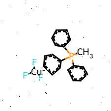 C[P+](c1ccccc1)(c1ccccc1)c1ccccc1.[F][Cu-]([F])[F]